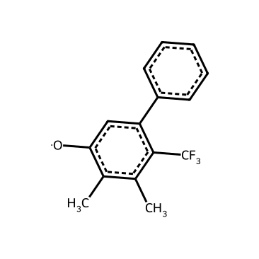 Cc1c([O])cc(-c2ccccc2)c(C(F)(F)F)c1C